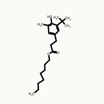 CCCCCCCCOC(=O)CCc1cc(C)c(O)c(C(C)(C)C)c1